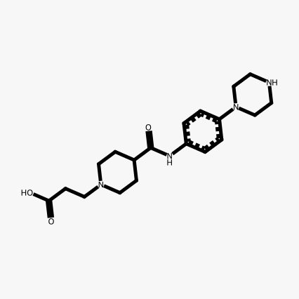 O=C(O)CCN1CCC(C(=O)Nc2ccc(N3CCNCC3)cc2)CC1